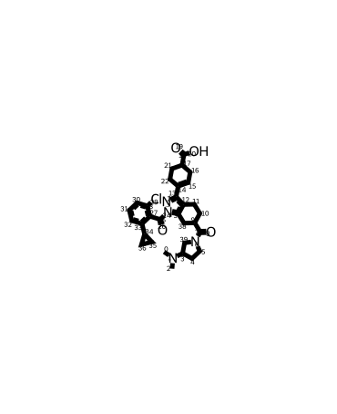 CN(C)C1CCN(C(=O)C2CCc3c(C4=CCC(C(=O)O)CC4)nn(C(=O)c4c(Cl)cccc4C4CC4)c3C2)C1